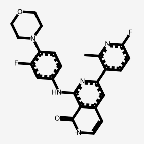 Cc1nc(F)ccc1-c1cc2c(c(Nc3ccc(N4CCOCC4)c(F)c3)n1)C(=O)[N]C=C2